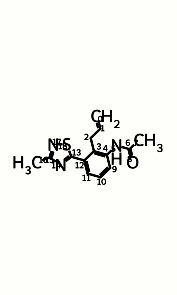 C=CCc1c(NC(C)=O)cccc1-c1nc(C)ns1